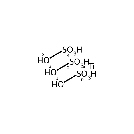 O=S(=O)(O)O.O=S(=O)(O)O.O=S(=O)(O)O.[Ti]